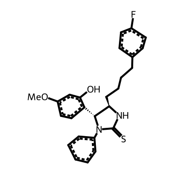 COc1ccc([C@@H]2[C@@H](CCCCc3ccc(F)cc3)NC(=S)N2c2ccccc2)c(O)c1